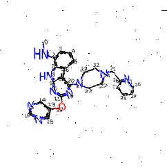 CNc1cccc2c1[nH]c1nc(Oc3cncnc3)nc(N3CCN(Cc4ccccn4)CC3)c12